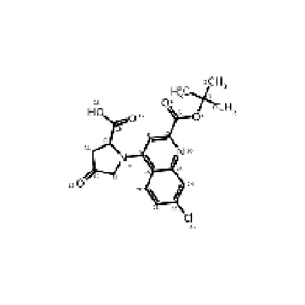 CC(C)(C)OC(=O)c1cc(N2CC(=O)CC2C(=O)O)c2ccc(Cl)cc2n1